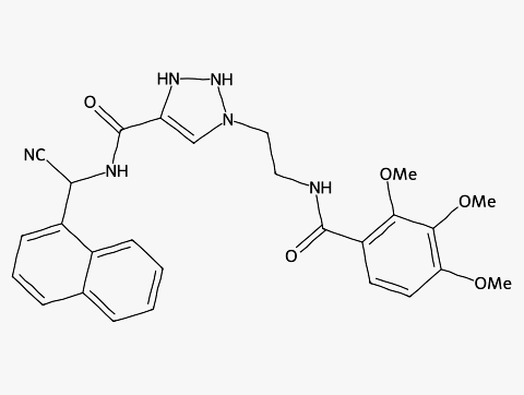 COc1ccc(C(=O)NCCN2C=C(C(=O)NC(C#N)c3cccc4ccccc34)NN2)c(OC)c1OC